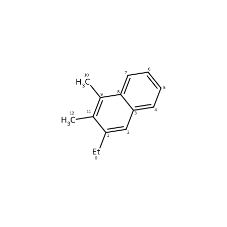 CCc1cc2ccccc2c(C)c1C